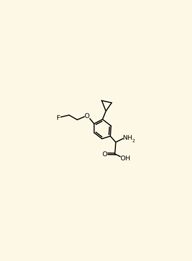 NC(C(=O)O)c1ccc(OCCF)c(C2CC2)c1